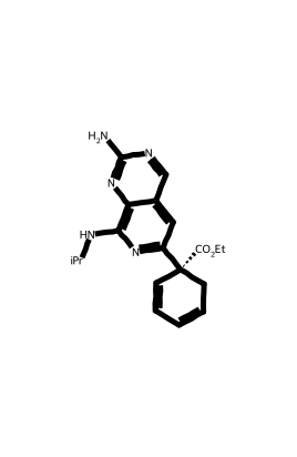 CCOC(=O)[C@@]1(c2cc3cnc(N)nc3c(NC(C)C)n2)C=CC=CC1